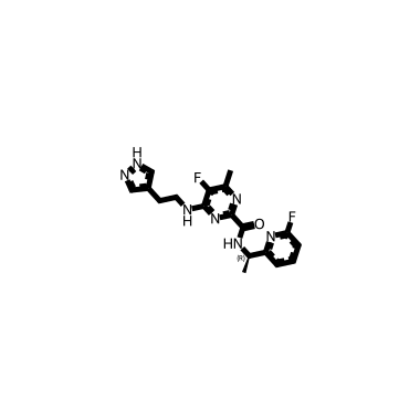 Cc1nc(C(=O)N[C@H](C)c2cccc(F)n2)nc(NCCc2cn[nH]c2)c1F